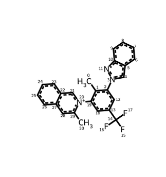 Cc1c(-n2cc3ccccc3n2)cc(C(F)(F)F)cc1-[n+]1cc2ccccc2cc1C